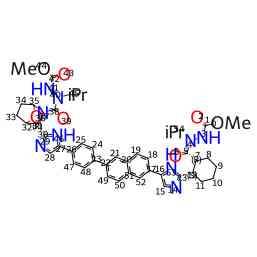 COC(=O)NN(C(=O)[C@@H]1CCCC[C@@H]1c1ncc(-c2ccc3cc(-c4ccc(-c5cnc([C@@H]6C7CCC(O7)N6C(=O)N(NC(=O)OC)C(C)C)[nH]5)cc4)ccc3c2)[nH]1)C(C)C